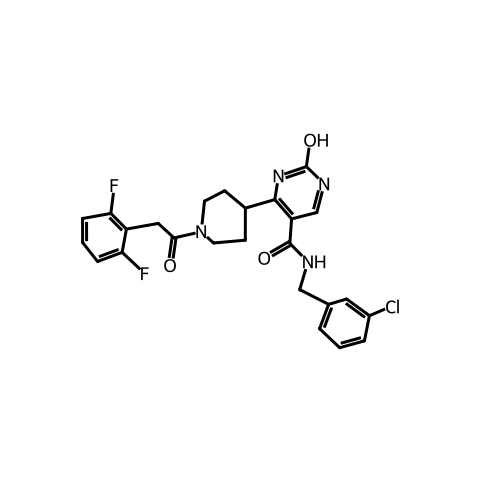 O=C(NCc1cccc(Cl)c1)c1cnc(O)nc1C1CCN(C(=O)Cc2c(F)cccc2F)CC1